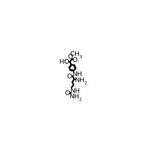 COC(=O)C(O)c1ccc(NC(=O)C(N)CCCNC(N)=O)cc1